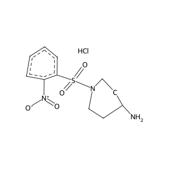 Cl.NC1CCN(S(=O)(=O)c2ccccc2[N+](=O)[O-])CC1